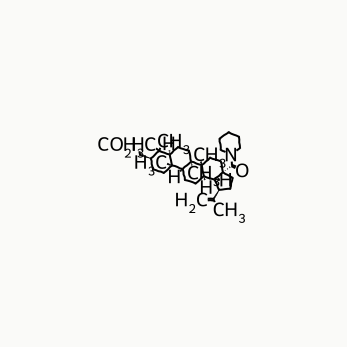 C=C(C)[C@@H]1CC[C@]2(C(=O)N3CCCCC3)CC[C@]3(C)[C@H](CC[C@@H]4[C@]5(C)CC[C@@H](CC(=O)O)C(C)(C)[C@H]5CC[C@]43C)[C@@H]12